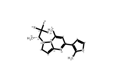 CC1=CC(c2ccoc2C)=NC2=CCN([C@H](C)C(F)(F)F)N12